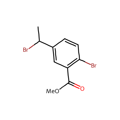 COC(=O)c1cc(C(C)Br)ccc1Br